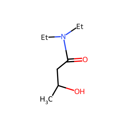 CCN(CC)C(=O)CC(C)O